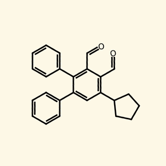 O=Cc1c(C2CCCC2)cc(-c2ccccc2)c(-c2ccccc2)c1C=O